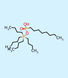 CCCCCCCCP(=O)(O)OP(CCCC)(CCCC)(CCCC)CCCC